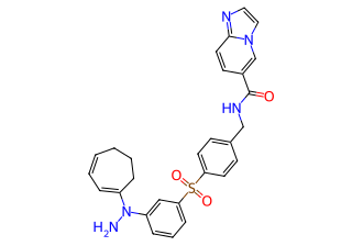 NN(C1=CC=CCCC1)c1cccc(S(=O)(=O)c2ccc(CNC(=O)c3ccc4nccn4c3)cc2)c1